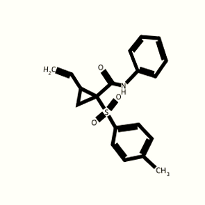 C=CC1CC1(C(=O)Nc1ccccc1)S(=O)(=O)c1ccc(C)cc1